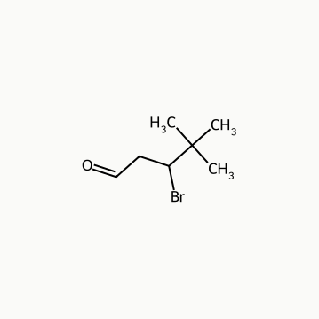 CC(C)(C)C(Br)CC=O